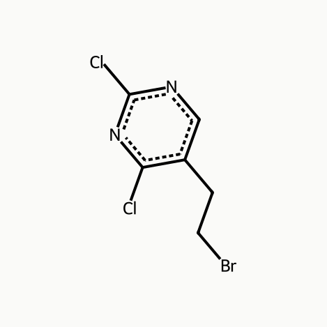 Clc1ncc(CCBr)c(Cl)n1